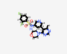 Cc1ncnc(N2CCOCC2)c1-c1cncc(NS(=O)(=O)c2ccc(F)cc2F)c1